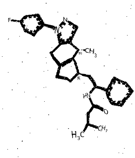 CC(C)CC(=O)NC(C[C@H]1CCC2=C1[C@@H](C)c1cnn(-c3ccc(F)cc3)c1C2)c1ccccc1